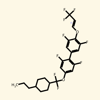 CCCC1CCC(C(F)(F)Oc2cc(F)c(-c3cc(F)c(O/C=C/C(F)(F)F)c(F)c3)c(F)c2)CC1